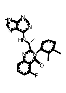 Cc1cccc(-n2c([C@@H](C)Nc3ncnc4[nH]cnc34)nc3cccc(F)c3c2=O)c1C